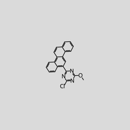 COc1nc(Cl)nc(-c2cc3c4ccccc4ccc3c3ccccc23)n1